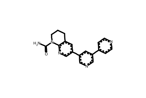 NC(=O)N1CCCc2cc(-c3cncc(-c4ccncc4)c3)cnc21